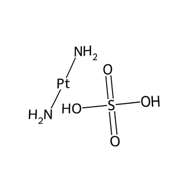 O=S(=O)(O)O.[NH2][Pt][NH2]